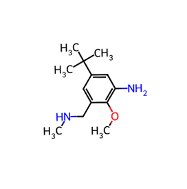 CNCc1cc(C(C)(C)C)cc(N)c1OC